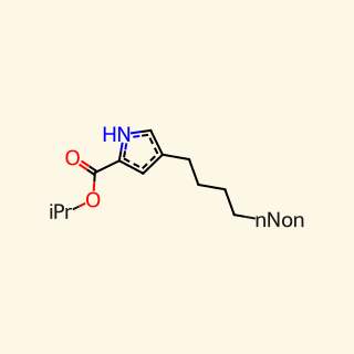 CCCCCCCCCCCCCc1c[nH]c(C(=O)OC(C)C)c1